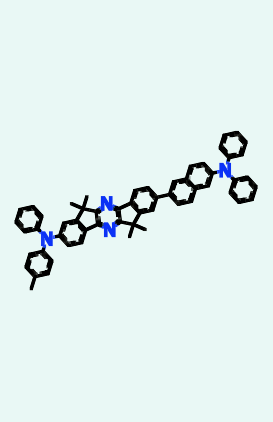 Cc1ccc(N(c2ccccc2)c2ccc3c(c2)C(C)(C)c2nc4c(nc2-3)C(C)(C)c2cc(-c3ccc5cc(N(c6ccccc6)c6ccccc6)ccc5c3)ccc2-4)cc1